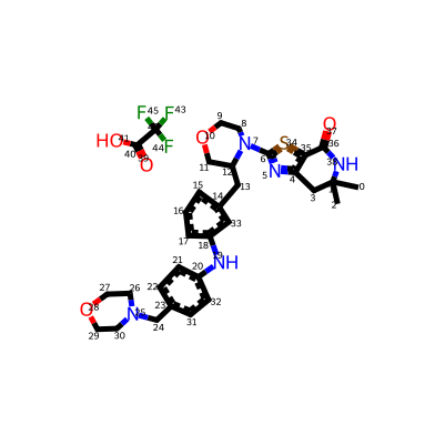 CC1(C)Cc2nc(N3CCOCC3Cc3cccc(Nc4ccc(CN5CCOCC5)cc4)c3)sc2C(=O)N1.O=C(O)C(F)(F)F